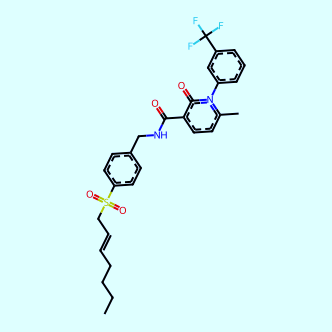 CCCCC=CCS(=O)(=O)c1ccc(CNC(=O)c2ccc(C)n(-c3cccc(C(F)(F)F)c3)c2=O)cc1